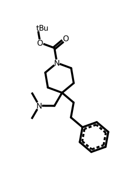 CN(C)CC1(CCc2ccccc2)CCN(C(=O)OC(C)(C)C)CC1